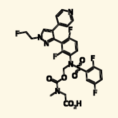 CN(CC(=O)O)C(=O)OCN(c1ccc(F)c(-c2nn(CCF)cc2-c2ccncc2)c1F)S(=O)(=O)c1cc(F)ccc1F